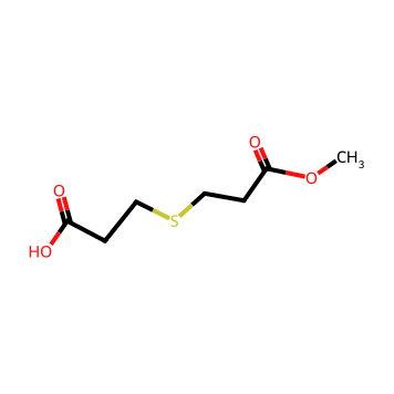 COC(=O)CCSCCC(=O)O